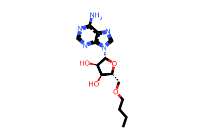 CCCCOC[C@H]1O[C@@H](n2cnc3c(N)ncnc32)[C@H](O)[C@@H]1O